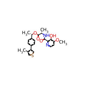 COc1ccnc(C(=O)N[C@@H](C)C(=O)O[C@@H](C)c2ccc(-c3cscc3C)cc2)c1O